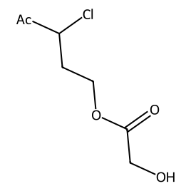 CC(=O)C(Cl)CCOC(=O)CO